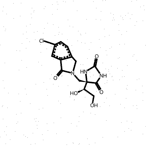 O=C1NC(=O)[C@](CN2Cc3ccc(Cl)cc3C2=O)([C@H](O)CO)N1